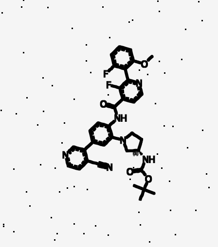 COc1cccc(F)c1-c1nccc(C(=O)Nc2ccc(-c3cnccc3C#N)cc2N2CC[C@H](NC(=O)OC(C)(C)C)C2)c1F